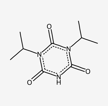 CC(C)n1c(=O)[nH]c(=O)n(C(C)C)c1=O